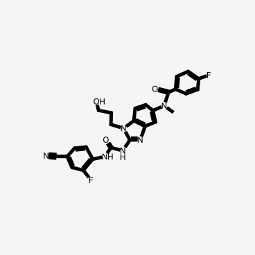 CN(C(=O)c1ccc(F)cc1)c1ccc2c(c1)nc(NC(=O)Nc1ccc(C#N)cc1F)n2CCCO